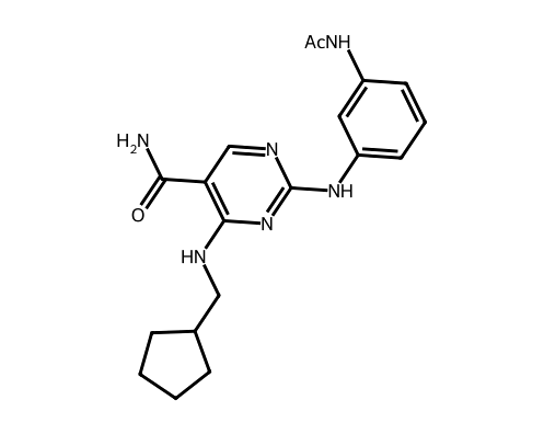 CC(=O)Nc1cccc(Nc2ncc(C(N)=O)c(NCC3CCCC3)n2)c1